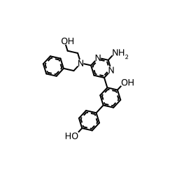 Nc1nc(-c2cc(-c3ccc(O)cc3)ccc2O)cc(N(CCO)Cc2ccccc2)n1